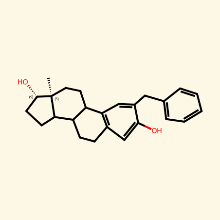 C[C@]12CCC3c4cc(Cc5ccccc5)c(O)cc4CCC3C1CC[C@@H]2O